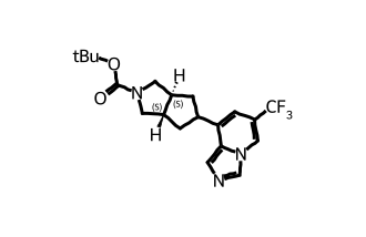 CC(C)(C)OC(=O)N1C[C@H]2CC(c3cc(C(F)(F)F)cn4cncc34)C[C@@H]2C1